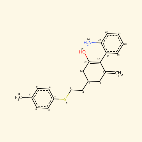 C=C1CC(CCSc2ccc(C(F)(F)F)cc2)CC(O)=C1c1ccccc1N